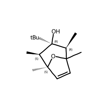 C[C@H]1C2(C)C=C[C@](C)(O2)[C@@H](C)[C@]1(O)C(C)(C)C